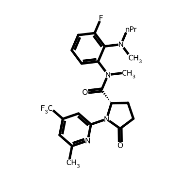 CCCN(C)c1c(F)cccc1N(C)C(=O)[C@@H]1CCC(=O)N1c1cc(C(F)(F)F)cc(C)n1